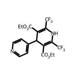 CCOC(=O)C1=C(C(F)(F)F)NC(C(F)(F)F)=C(C(=O)OCC)C1c1ccncc1